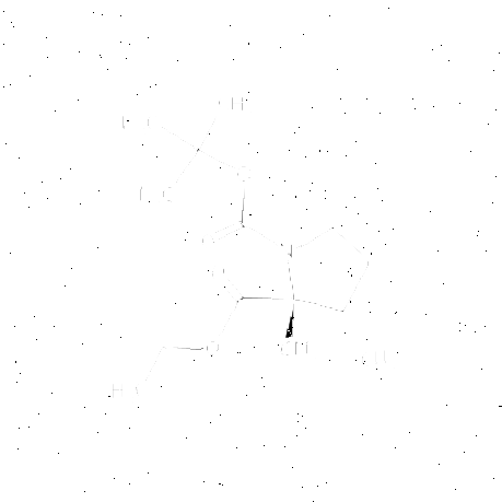 CCOC(=O)[C@@]1(C)[C@@H](C)CCN1C(=O)OC(C)(C)C